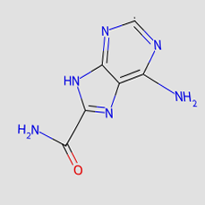 NC(=O)c1nc2c(N)n[c]nc2[nH]1